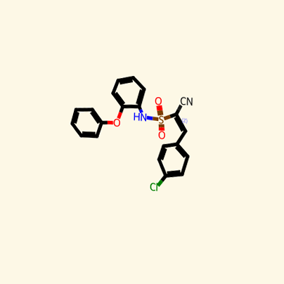 N#C/C(=C/c1ccc(Cl)cc1)S(=O)(=O)Nc1ccccc1Oc1ccccc1